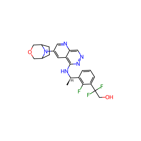 C[C@@H](Nc1nncc2ncc(N3C4CCC3COC4)cc12)c1cccc(C(F)(F)CO)c1F